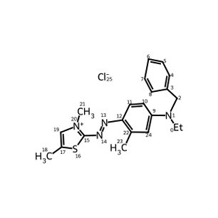 CCN(Cc1ccccc1)c1ccc(/N=N/c2sc(C)c[n+]2C)c(C)c1.[Cl-]